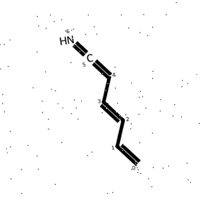 C=CC=CC=C=N